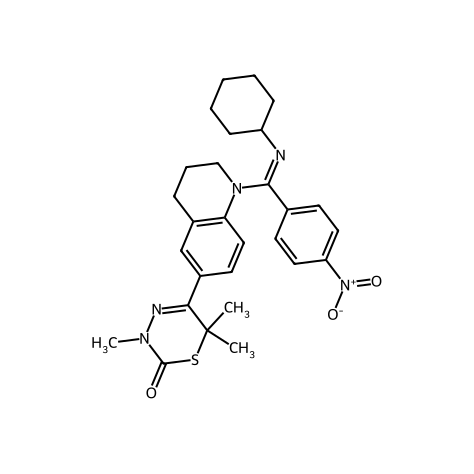 CN1N=C(c2ccc3c(c2)CCCN3/C(=N\C2CCCCC2)c2ccc([N+](=O)[O-])cc2)C(C)(C)SC1=O